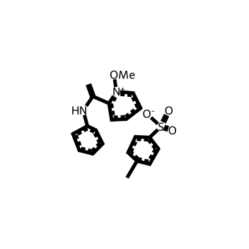 C=C(Nc1ccccc1)c1cccc[n+]1OC.Cc1ccc(S(=O)(=O)[O-])cc1